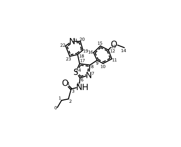 CCCC(=O)Nc1nc(-c2ccc(OC)cc2)c(-c2ccncc2)s1